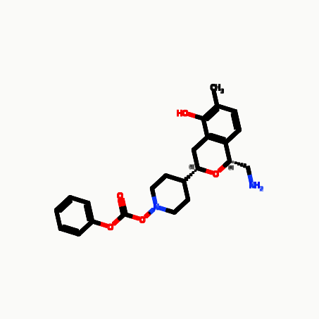 Cc1ccc2c(c1O)C[C@@H](C1CCN(OC(=O)Oc3ccccc3)CC1)O[C@H]2CN